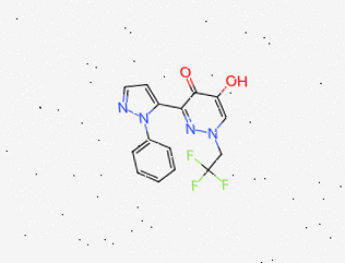 O=c1c(O)cn(CC(F)(F)F)nc1-c1ccnn1-c1ccccc1